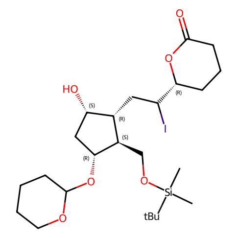 CC(C)(C)[Si](C)(C)OC[C@@H]1[C@@H](CC(I)[C@H]2CCCC(=O)O2)[C@@H](O)C[C@H]1OC1CCCCO1